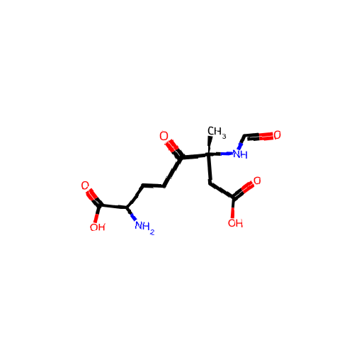 C[C@](CC(=O)O)(NC=O)C(=O)CCC(N)C(=O)O